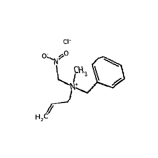 C=CC[N+](C)(Cc1ccccc1)C[N+](=O)[O-].[Cl-]